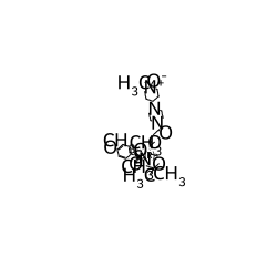 COc1cc(C)c(S(=O)(=O)N2CC(C)(C)OC[C@H]2COCC(=O)N2CCN(C3CC[N+](C)([O-])CC3)CC2)c(C)c1